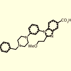 COCCc1nc2cc(C(=O)O)ccc2n1-c1cccc(N2CCN(Cc3ccccc3)CC2)c1